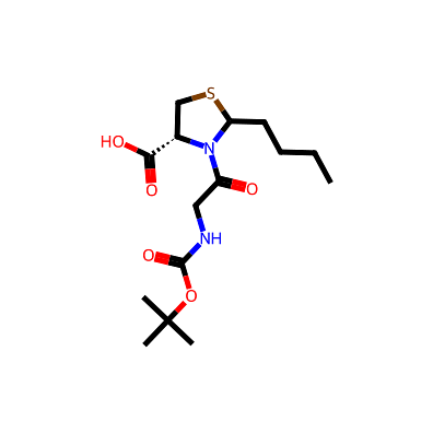 CCCCC1SC[C@@H](C(=O)O)N1C(=O)CNC(=O)OC(C)(C)C